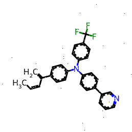 C=C(/C=C\C)c1ccc(N(c2ccc(-c3cccnc3)cc2)c2ccc(C(F)(F)F)cc2)cc1